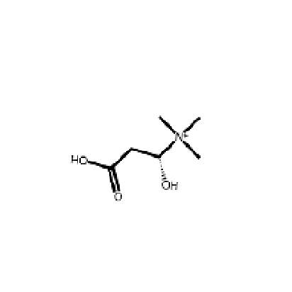 C[N+](C)(C)[C@H](O)CC(=O)O